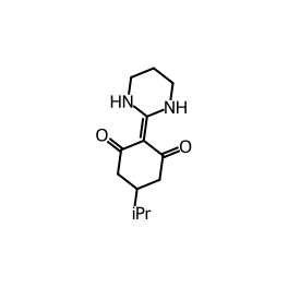 CC(C)C1CC(=O)C(=C2NCCCN2)C(=O)C1